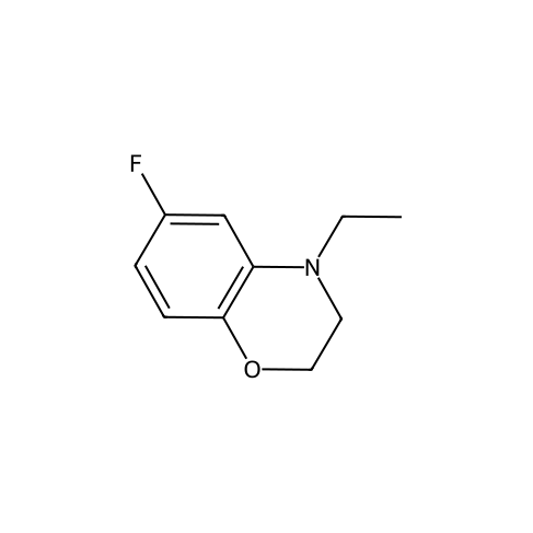 CCN1CCOc2ccc(F)cc21